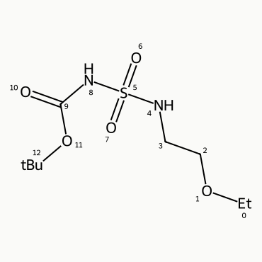 CCOCCNS(=O)(=O)NC(=O)OC(C)(C)C